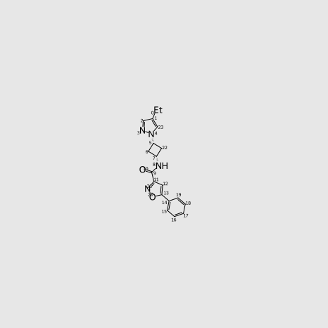 CCc1cnn([C@H]2C[C@@H](NC(=O)c3cc(-c4ccccc4)on3)C2)c1